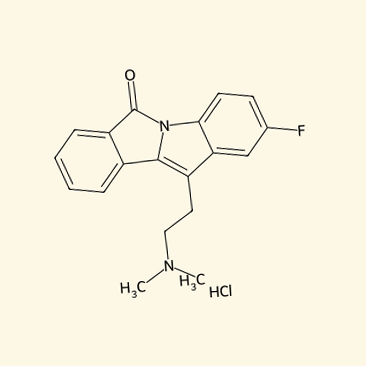 CN(C)CCc1c2n(c3ccc(F)cc13)C(=O)c1ccccc1-2.Cl